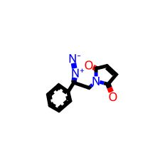 [N-]=[N+]=C(CN1C(=O)C=CC1=O)c1ccccc1